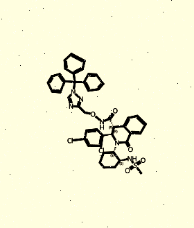 CS(=O)(=O)N[C@H]1CCCC[C@@H]1N1C(=O)c2ccccc2[C@@H](C(=O)NOCc2ncn(C(c3ccccc3)(c3ccccc3)c3ccccc3)n2)[C@@H]1c1ccc(Cl)cc1Cl